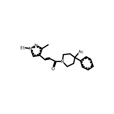 CCn1cc(C=CC(=O)N2CCC(C(C)=O)(c3ccccc3)CC2)c(C)n1